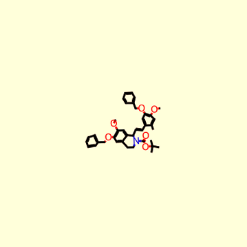 COc1cc(C)c(C=CC2c3cc(OC)c(OCc4ccccc4)cc3CCN2C(=O)OC(C)(C)C)cc1OCc1ccccc1